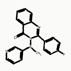 CN(c1cccnc1)n1c(-c2ccc(F)cc2)nc2ccccc2c1=O